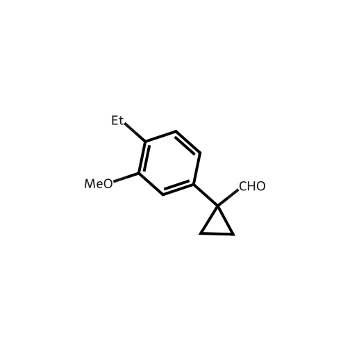 CCc1ccc(C2(C=O)CC2)cc1OC